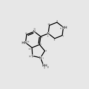 NN1CC2=C(N3CCNCC3)N=CNC2S1